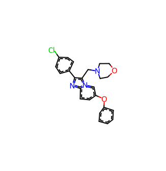 Clc1ccc(-c2nc3ccc(Oc4ccccc4)cn3c2CN2CCOCC2)cc1